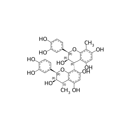 Cc1c(O)cc(O)c2c1O[C@H](c1ccc(O)c(O)c1)[C@H](O)[C@H]2c1c(O)cc(O)c2c1O[C@H](c1ccc(O)c(O)c1)[C@H](O)[C@H]2C